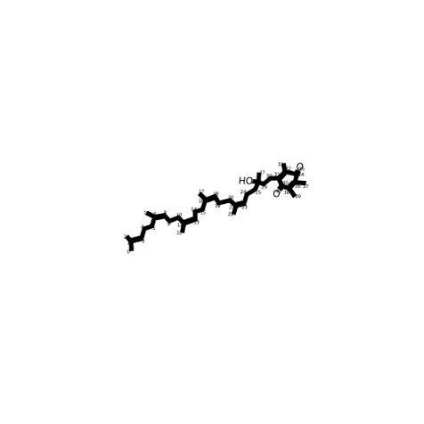 CC(C)=CCCC(C)=CCCC(C)=CCCC(C)=CCCC(C)=CCCC(C)(O)CCC1=C(C)C(=O)C(C)=C(C)C1=O